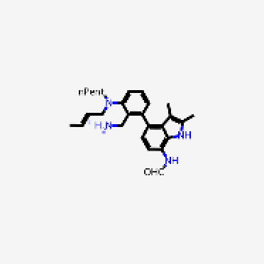 C/C=C/CN(CCCCC)c1cccc(-c2ccc(NC=O)c3[nH]c(C)c(C)c23)c1CN